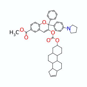 COC(=O)c1ccc2c(c1)C=C(OC(=O)OC1CCC3C(CCC4C5CC=CC5CCC34)C1)C(c1ccccc1)(c1ccc(N3CCCC3)cc1)O2